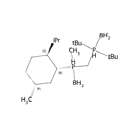 B[PH](C)(C[PH](B)(C(C)(C)C)C(C)(C)C)[C@@H]1C[C@H](C)CC[C@H]1C(C)C